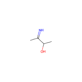 CC(=N)C(C)O